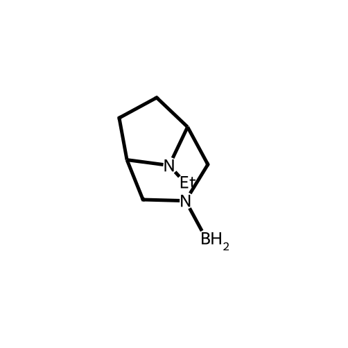 BN1CC2CCC(C1)N2CC